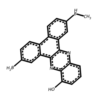 Bc1ccc2c3ccc(BC)cc3c3nc4cccc(O)c4nc3c2c1